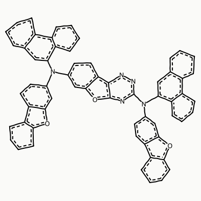 c1ccc2c(c1)cc(N(c1ccc3c(c1)oc1ccccc13)c1ccc3c(c1)oc1nc(N(c4ccc5c(c4)oc4ccccc45)c4cc5ccccc5c5ccccc45)nnc13)c1ccccc12